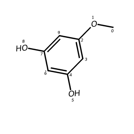 COc1cc(O)[c]c(O)c1